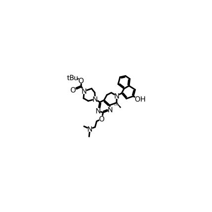 C[C@H]1c2nc(OCCN(C)C)nc(N3CCN(C(=O)OC(C)(C)C)CC3)c2CCN1c1cc(O)cc2ccccc12